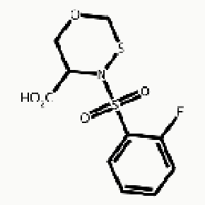 O=C(O)C1COCSN1S(=O)(=O)c1ccccc1F